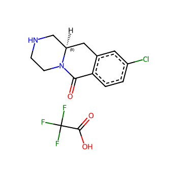 O=C(O)C(F)(F)F.O=C1c2ccc(Cl)cc2C[C@@H]2CNCCN12